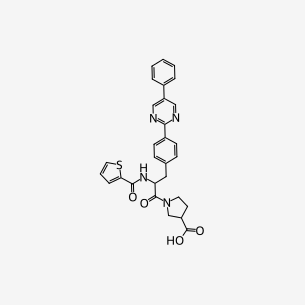 O=C(NC(Cc1ccc(-c2ncc(-c3ccccc3)cn2)cc1)C(=O)N1CCC(C(=O)O)C1)c1cccs1